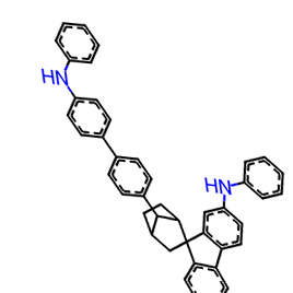 c1ccc(Nc2ccc(-c3ccc(C4C5CCC4C4(C5)c5ccccc5-c5ccc(Nc6ccccc6)cc54)cc3)cc2)cc1